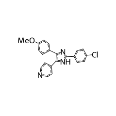 COc1ccc(-c2nc(-c3ccc(Cl)cc3)[nH]c2-c2ccncc2)cc1